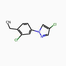 N#CCc1ccc(-n2cc(Cl)cn2)cc1Cl